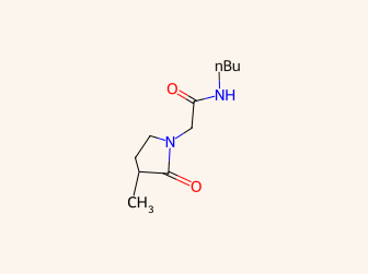 CCCCNC(=O)CN1CCC(C)C1=O